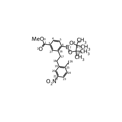 COC(=O)c1ccc(B2OC(C)(C)C(C)(C)O2)c(CCc2cc([N+](=O)[O-])ccc2I)c1